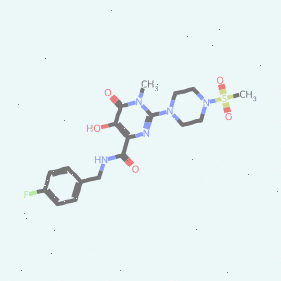 Cn1c(N2CCN(S(C)(=O)=O)CC2)nc(C(=O)NCc2ccc(F)cc2)c(O)c1=O